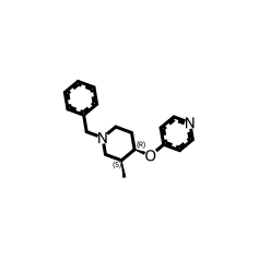 C[C@H]1CN(Cc2ccccc2)CC[C@H]1Oc1ccncc1